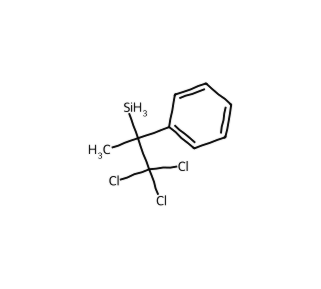 CC([SiH3])(c1ccccc1)C(Cl)(Cl)Cl